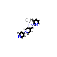 O=[N+]([O-])c1cccnc1NCC1CCN(c2ccncc2)CC1